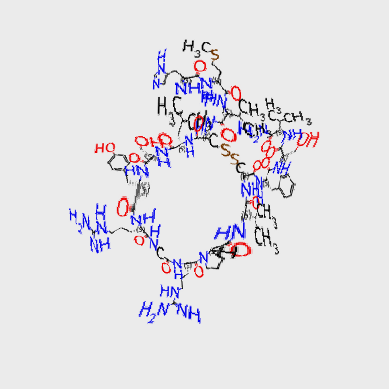 CSCC[C@H](NC(=O)[C@@H](N)Cc1cnc[nH]1)C(=O)N[C@H](C(=O)N[C@H]1CSSC[C@@H](C(=O)N[C@@H](Cc2ccccc2)C(=O)N[C@@H](CO)C(=O)N[C@H](C(N)=O)C(C)C)NC(=O)[C@H](C(C)C)NC(=O)[C@@H]2CCCN2C(=O)[C@H](CCCNC(=N)N)NC(=O)CNC(=O)[C@H](CCCNC(=N)N)NC(=O)[C@H](Cc2ccc(O)cc2)NC(=O)[C@H](CO)NC(=O)[C@H](CC(C)C)NC1=O)C(C)C